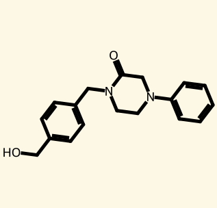 O=C1CN(c2ccccc2)CCN1Cc1ccc(CO)cc1